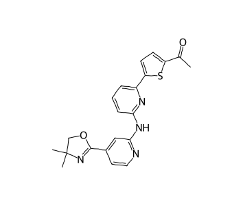 CC(=O)c1ccc(-c2cccc(Nc3cc(C4=NC(C)(C)CO4)ccn3)n2)s1